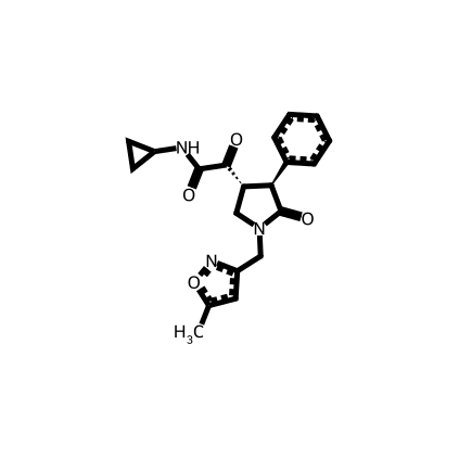 Cc1cc(CN2C[C@H](C(=O)C(=O)NC3CC3)[C@@H](c3ccccc3)C2=O)no1